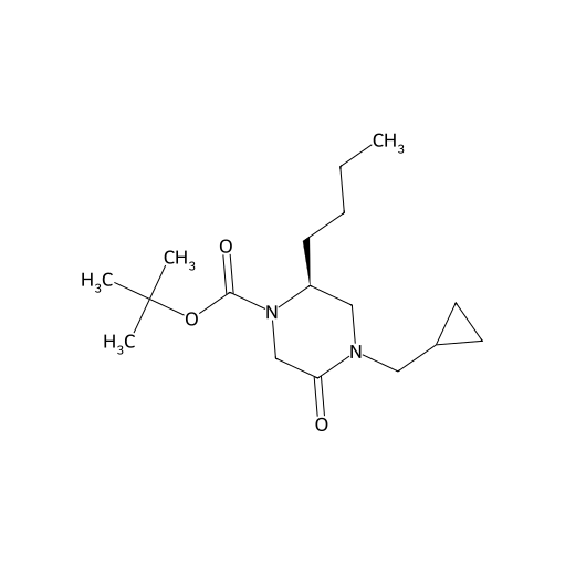 CCCC[C@H]1CN(CC2CC2)C(=O)CN1C(=O)OC(C)(C)C